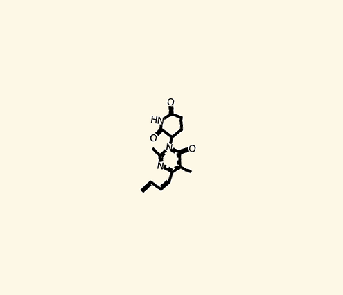 C=C/C=C\c1nc(C)n(C2CCC(=O)NC2=O)c(=O)c1C